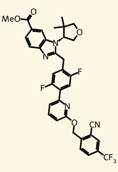 COC(=O)c1ccc2nc(Cc3cc(F)c(-c4cccc(OCc5ccc(C(F)(F)F)cc5C#N)n4)cc3F)n([C@@H]3COCC3(C)C)c2c1